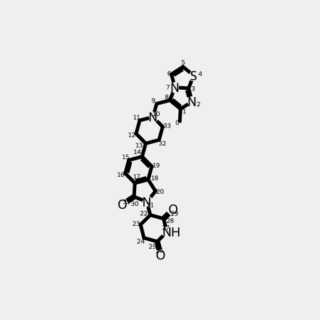 Cc1nc2sccn2c1CN1CCC(c2ccc3c(c2)CN(C2CCC(=O)NC2=O)C3=O)CC1